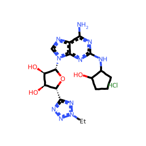 CCn1nnc([C@H]2O[C@@H](n3cnc4c(N)nc(NC5CCCC5O)nc43)[C@H](O)[C@@H]2O)n1.Cl